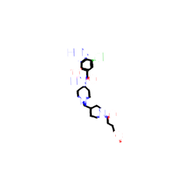 COCCCC(=O)N1CCC(CN2CCC(NC(=O)c3cc(Cl)c(N)cc3OC)CC2)CC1